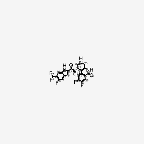 CN(C(=O)c1cc2cc(F)c(C(F)F)cc2[nH]1)[C@@H]1CNCc2[nH]c(=O)c3cc(F)c(F)cc3c21